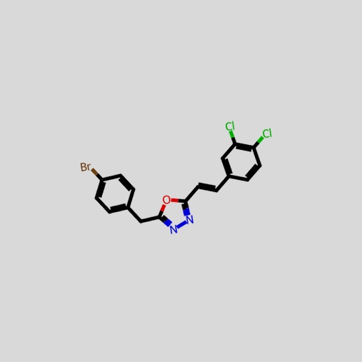 Clc1ccc(/C=C/c2nnc(Cc3ccc(Br)cc3)o2)cc1Cl